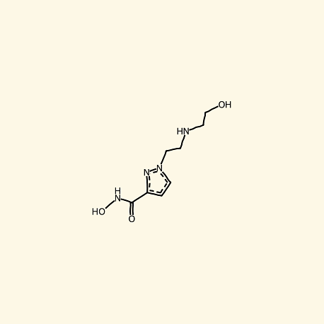 O=C(NO)c1ccn(CCNCCO)n1